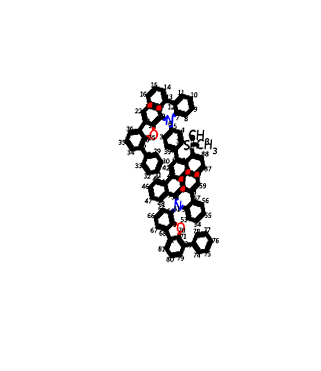 C[Si]1(C)c2cc(N(c3ccccc3-c3ccccc3)c3cccc4c3oc3c(-c5ccccc5)cccc34)ccc2-c2cc3c4ccccc4c(N(c4ccccc4-c4ccccc4)c4cccc5c4oc4c(-c6ccccc6)cccc45)cc3c3cccc1c23